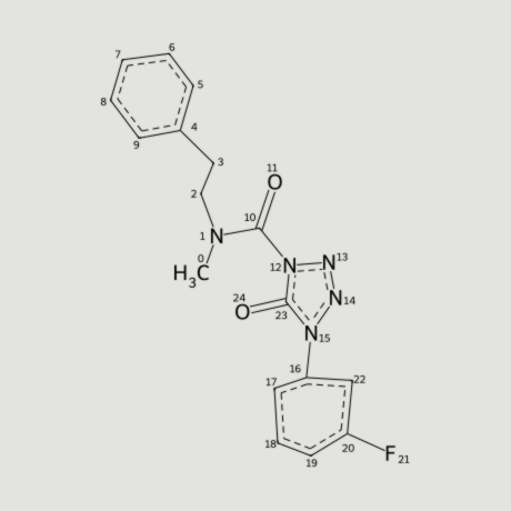 CN(CCc1ccccc1)C(=O)n1nnn(-c2cccc(F)c2)c1=O